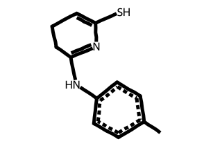 Cc1ccc(NC2=NC(S)=CCC2)cc1